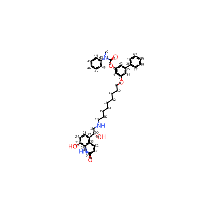 CN(C(=O)Oc1cc(OCCCCCCCCCNC[C@H](O)c2ccc(O)c3[nH]c(=O)ccc23)cc(-c2ccccc2)c1)c1ccccc1